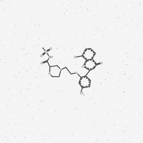 CS(=O)(=O)NC(=O)C1CN(CCOc2cc(C(F)(F)F)ccc2-c2cc(=O)c3cccc(Cl)c3o2)CCO1